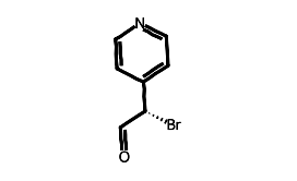 O=C[C@@H](Br)c1ccncc1